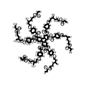 C=CC(=O)OCCCC(C)CCOc1ccc(C(=O)Oc2cc3c4cc(OC(=O)c5ccc(OCCC(C)CCCOC(=O)C=C)cc5)c(OC(=O)c5ccc(OCCC(C)CCCOC(=O)C=C)cc5)cc4c4cc(OC(=O)c5ccc(OCC[C@@H](C)CCCOC(=O)C=C)cc5)c(OC(=O)c5ccc(OCCC(C)CCCOC(=O)C=C)cc5)cc4c3cc2OC(=O)c2ccc(OCCC(C)CCCOC(=O)C=C)cc2)cc1